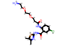 Cc1nc(NC(=O)c2cc(Cl)ccc2NC(=O)CCOCCOCCN)sc1C